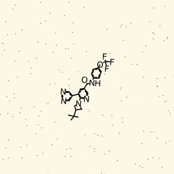 CC(C)(C)C1CN(c2ncc(C(=O)Nc3ccc(OC(F)(F)F)cc3)cc2-c2cncnc2)C1